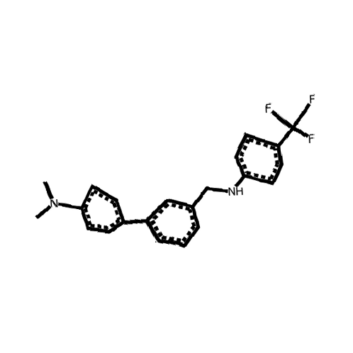 CN(C)c1ccc(-c2[c]ccc(CNc3ccc(C(F)(F)F)cc3)c2)cc1